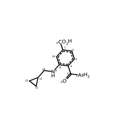 O=C(O)c1ccc(C(=O)[AsH2])c(NCC2CC2)c1